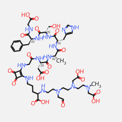 C[C@H](NC(=O)[C@H](CC(=O)O)NC(=O)CNc1c(NCCCC(NCCN(CC=O)CCN(CCN(C)CC(=O)O)CC(=O)O)C(=O)O)c(=O)c1=O)C(=O)N[C@@H](Cc1c[nH]cn1)C(=O)N[C@@H](CO)C(=O)N[C@@H](Cc1ccccc1)C(=O)NCC(=O)O